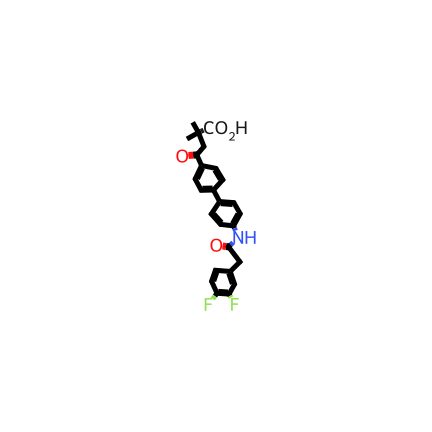 CC(C)(CC(=O)c1ccc(-c2ccc(NC(=O)Cc3ccc(F)c(F)c3)cc2)cc1)C(=O)O